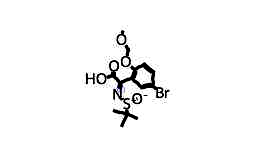 COCOc1ccc(Br)cc1/C(=N\[S+]([O-])C(C)(C)C)C(=O)O